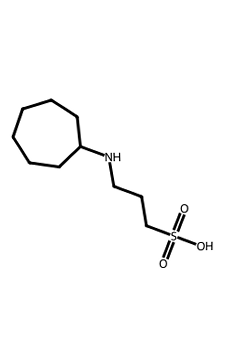 O=S(=O)(O)CCCNC1CCCCCC1